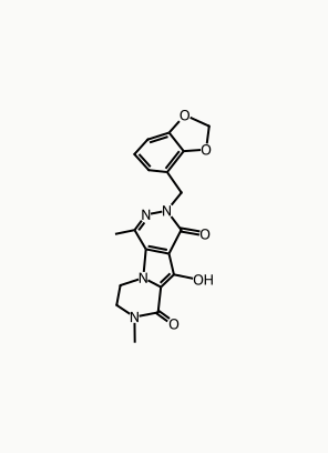 Cc1nn(Cc2cccc3c2OCO3)c(=O)c2c(O)c3n(c12)CCN(C)C3=O